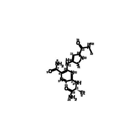 CC[C@@H](Nc1cnc(C(N)=O)c(Nc2cc(C(=O)N(C)C)ns2)n1)C(N)=O